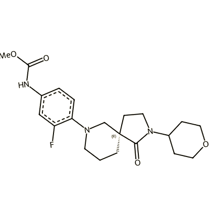 COC(=O)Nc1ccc(N2CCC[C@@]3(CCN(C4CCOCC4)C3=O)C2)c(F)c1